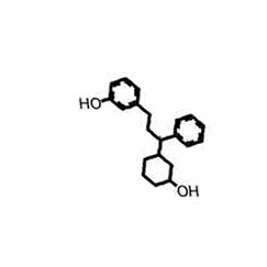 Oc1cccc(CC[C](c2ccccc2)C2CCCC(O)C2)c1